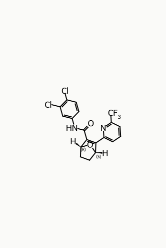 O=C(Nc1ccc(Cl)c(Cl)c1)C1=C(c2cccc(C(F)(F)F)n2)[C@@H]2CC[C@H]1O2